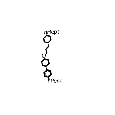 CCCCCCC[C@H]1CC[C@H](CCCO[C@H]2CC[C@H](c3ccc(CCCCC)cc3)CC2)CC1